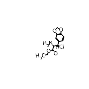 CCOC(=O)C(N)Cc1ccc2c(c1)OCO2.Cl